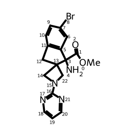 COC(=O)C1(N)c2cc(Br)ccc2CC12CN(c1ncccn1)C2